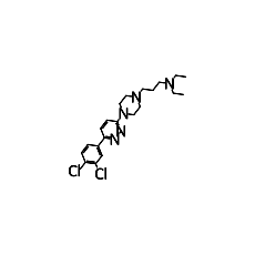 CCN(CC)CCCN1CCN(c2ccc(-c3ccc(Cl)c(Cl)c3)nn2)CC1